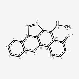 CNc1c2c3c(c4ccccc4nc3c3[nH]ccc(=O)c13)C=N2